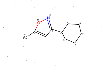 CC(=O)c1cc(C2CCCCC2)no1